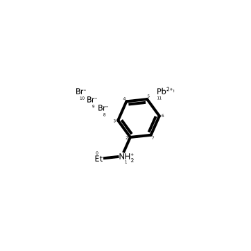 CC[NH2+]c1ccccc1.[Br-].[Br-].[Br-].[Pb+2]